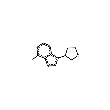 Fc1ncnc2c1ncn2C1CCOC1